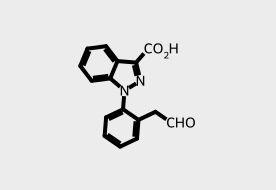 O=CCc1ccccc1-n1nc(C(=O)O)c2ccccc21